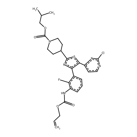 C=CCOC(=O)Nc1cccc(-c2nc(C3CCN(C(=O)OCC(C)C)CC3)sc2-c2ccnc(Cl)n2)c1F